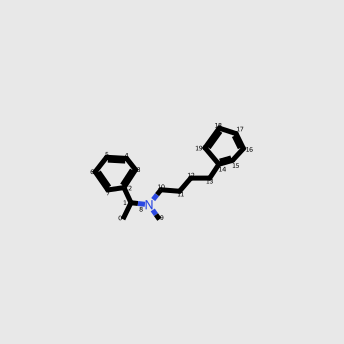 CC(c1ccccc1)N(C)CCCCc1ccccc1